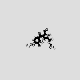 CCOC(=O)c1[nH]c(C=O)c(C(=O)c2ccc(OC)c(Br)c2)c1C